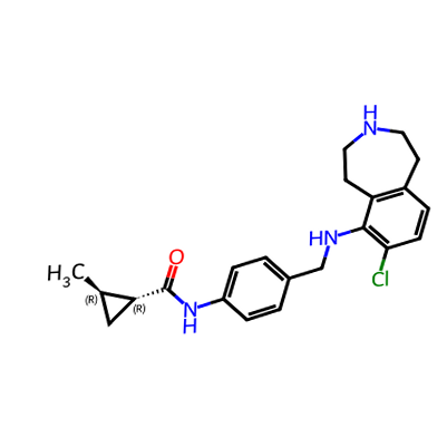 C[C@@H]1C[C@H]1C(=O)Nc1ccc(CNc2c(Cl)ccc3c2CCNCC3)cc1